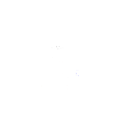 COC(=O)C1CCCCC2SCC(OC(=O)NCc3ccccc3)C21